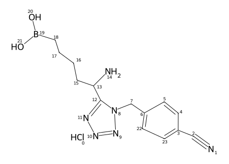 Cl.N#Cc1ccc(Cn2nnnc2C(N)CCCCB(O)O)cc1